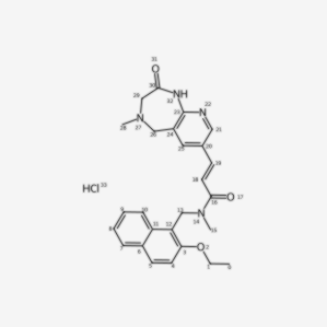 CCOc1ccc2ccccc2c1CN(C)C(=O)C=Cc1cnc2c(c1)CN(C)CC(=O)N2.Cl